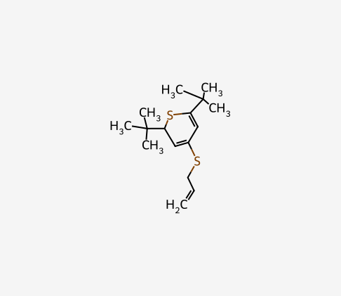 C=CCSC1=CC(C(C)(C)C)SC(C(C)(C)C)=C1